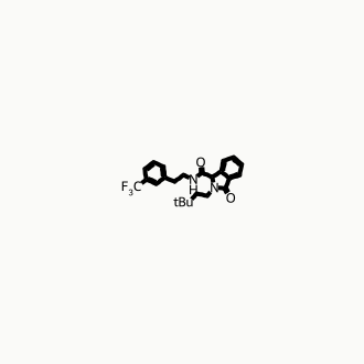 CC(C)(C)CCN1C(=O)c2ccccc2C1C(=O)NCCc1cccc(C(F)(F)F)c1